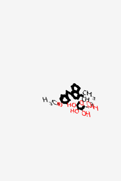 COc1ccc(Cc2cc([C@@H]3O[C@H](CO)[C@H](O)[C@H](O)[C@@H]3O)c(C(C)C)c3c2CCC3)cc1